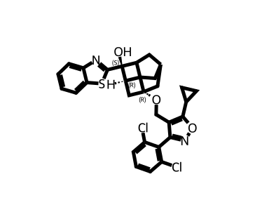 O[C@@]1(c2nc3ccccc3s2)C2CC3CC24[C@H]1C[C@]4(OCc1c(-c2c(Cl)cccc2Cl)noc1C1CC1)C3